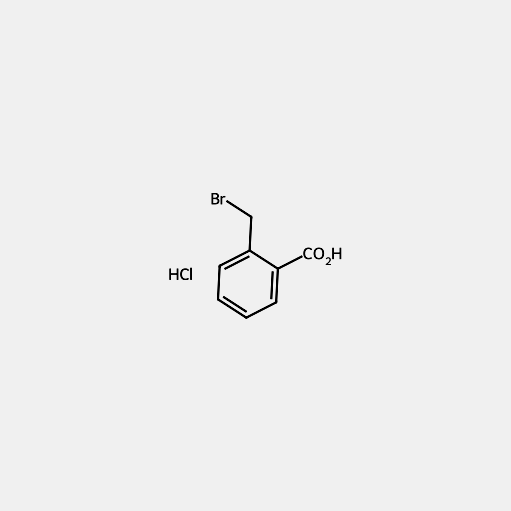 Cl.O=C(O)c1ccccc1CBr